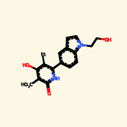 CCc1c(-c2ccc3c(ccn3CCO)c2)[nH]c(=O)c(C(=O)O)c1O